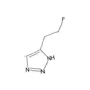 FCCc1[c]nn[nH]1